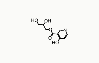 O=C(OCC(O)CO)c1cnccc1O